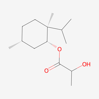 CC(O)C(=O)O[C@@H]1C[C@H](C)CC[C@@]1(C)C(C)C